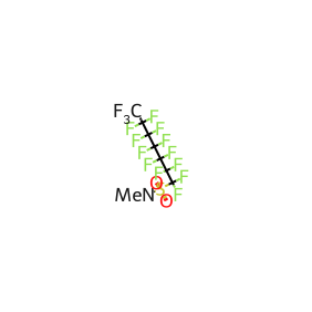 CNS(=O)(=O)C(F)(F)C(F)(F)C(F)(F)C(F)(F)C(F)(F)C(F)(F)C(F)(F)F